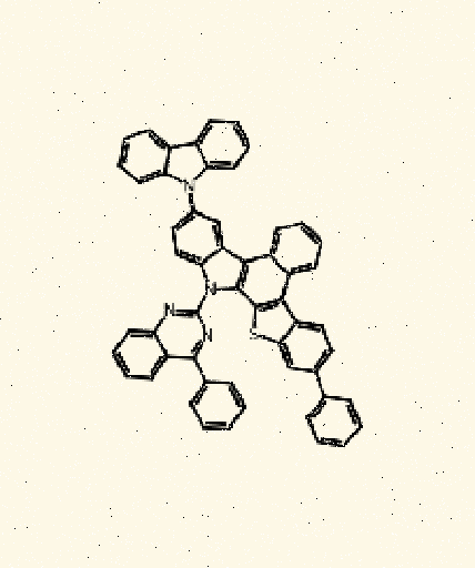 c1ccc(-c2ccc3c(c2)sc2c3c3ccccc3c3c4cc(-n5c6ccccc6c6ccccc65)ccc4n(-c4nc(-c5ccccc5)c5ccccc5n4)c23)cc1